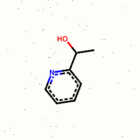 C[C](O)c1ccccn1